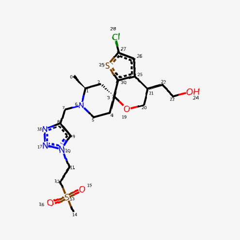 C[C@H]1C[C@@]2(CCN1Cc1cn(CCS(C)(=O)=O)nn1)OCC(CCO)c1cc(Cl)sc12